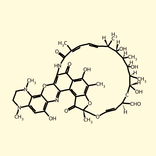 C/C1=C/C=C/[C@H](C)[C@H](O)[C@@H](C)[C@@H](O)[C@@H](C)[C@H](O)C[C@@H](C=O)/C=C/O[C@@]2(C)Oc3c(C)c(O)c4c(=O)c(c5oc6c7c(cc(O)c6nc-5c4c3C2=O)N(C)CCN7C)NC1=O